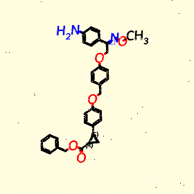 CO/N=C(\COc1ccc(COc2ccc([C@H]3C[C@H]3C(=O)OCc3ccccc3)cc2)cc1)c1ccc(N)cc1